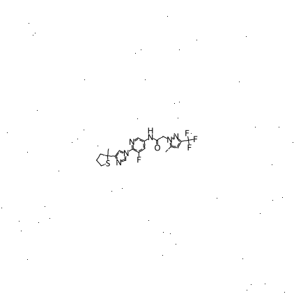 Cc1cc(C(F)(F)F)nn1CC(=O)Nc1cnc(-n2cnc(C3(C)CCCS3)c2)c(F)c1